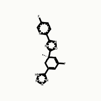 C[C@]1(c2nc(-c3ccc(F)cn3)no2)C=C(F)C=C(c2nnn[nH]2)C1